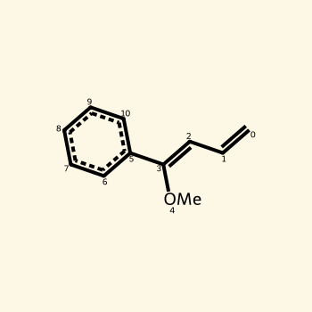 C=CC=C(OC)c1ccccc1